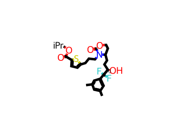 Cc1cc(C)cc(C(F)(F)[C@H](O)CCC2CCOC(=O)N2CCCc2ccc(C(=O)OC(C)C)s2)c1